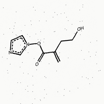 C=C(CCO)C(=O)On1ccnc1